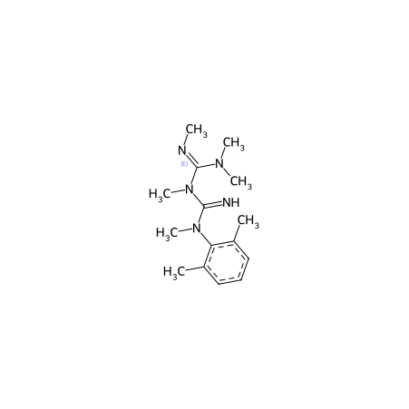 C/N=C(\N(C)C)N(C)C(=N)N(C)c1c(C)cccc1C